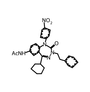 CC(=O)Nc1ccc2c(c1)C(C1CCCCC1)=NN(CCc1ccccc1)C(=O)N2c1ccc([N+](=O)[O-])cc1